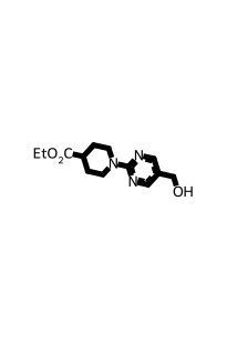 CCOC(=O)C1CCN(c2ncc(CO)cn2)CC1